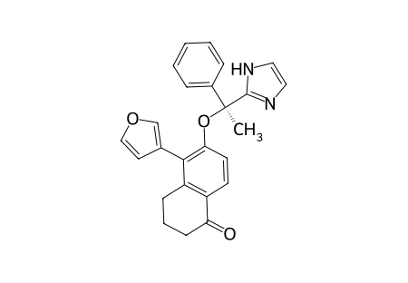 C[C@](Oc1ccc2c(c1-c1ccoc1)CCCC2=O)(c1ccccc1)c1ncc[nH]1